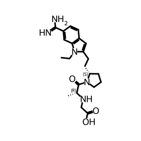 CCn1c(CC[C@@H]2CCCN2C(=O)[C@@H](C)NCC(=O)O)cc2ccc(C(=N)N)cc21